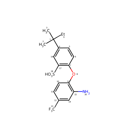 CCC(C)(C)c1ccc(Oc2ccc(C(F)(F)F)cc2N)c(S(=O)(=O)O)c1